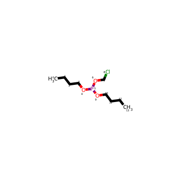 CCCCOP(OCCl)OCCCC